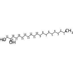 CCCCCCCCCCCCCCCCCCCC(O)CO